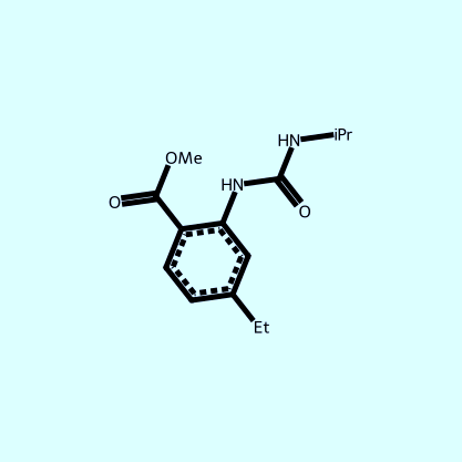 CCc1ccc(C(=O)OC)c(NC(=O)NC(C)C)c1